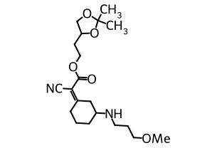 COCCCNC1CCC/C(=C(\C#N)C(=O)OCCC2COC(C)(C)O2)C1